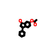 CC(=O)Oc1ccc2c(c1)C(=O)C=C2c1ccccc1